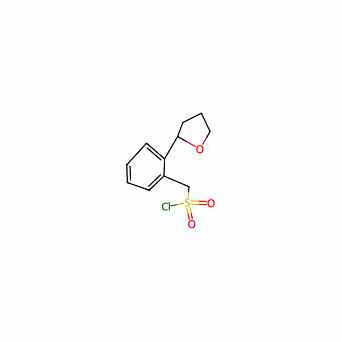 O=S(=O)(Cl)Cc1ccccc1C1CCCO1